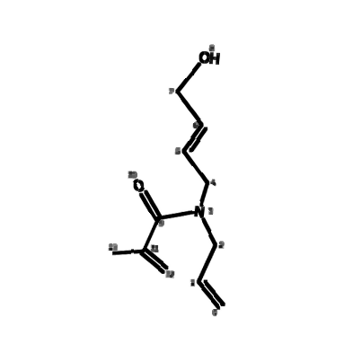 C=CCN(C/C=C/CO)C(=O)C(=C)C